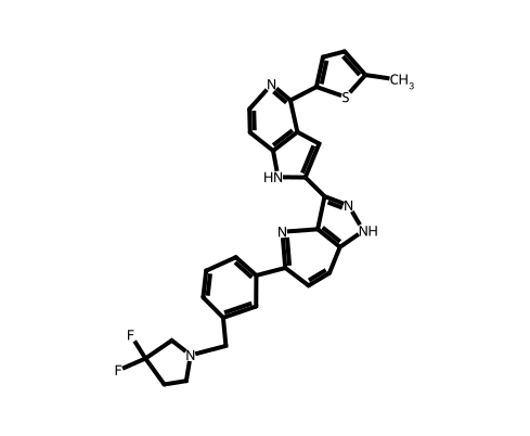 Cc1ccc(-c2nccc3[nH]c(-c4n[nH]c5ccc(-c6cccc(CN7CCC(F)(F)C7)c6)nc45)cc23)s1